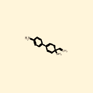 C=CC1(N)C=CC(c2ccc(N)cc2)=CC1